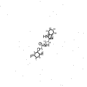 O=C(COc1cc(F)ccc1F)NCCc1nc2ccccc2[nH]1